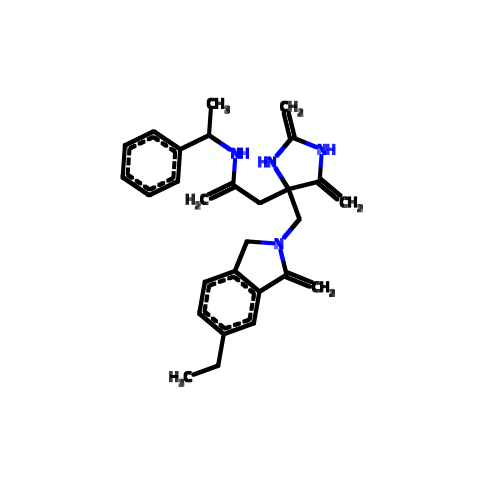 C=C(CC1(CN2Cc3ccc(CC)cc3C2=C)NC(=C)NC1=C)NC(C)c1ccccc1